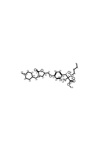 CCCCS(=O)(=O)C(N)(Cc1ccc(OCC2CN(CC3CCN(C)CC3)C(=O)O2)cc1)C(=O)OC